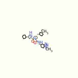 Cc1cccc(C[C@@H]2C[C@@H](C(=O)NCc3ccc4c(c3)nnn4C)N(C(=O)[C@H]3C[C@@H](c4ccccc4)CN3)C2)c1